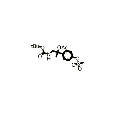 CC(=O)OC(C)(CNC(=O)OC(C)(C)C)c1ccc(OS(C)(=O)=O)cc1